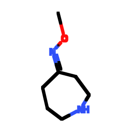 CON=C1CCCNCC1